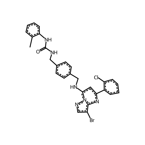 Cc1ccccc1NC(=O)NCc1ccc(CNc2cc(-c3ccccc3Cl)nc3c(Br)cnn23)cc1